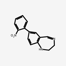 O=[N+]([O-])c1ccccc1-c1ccc2c(c1)C=NCCN2